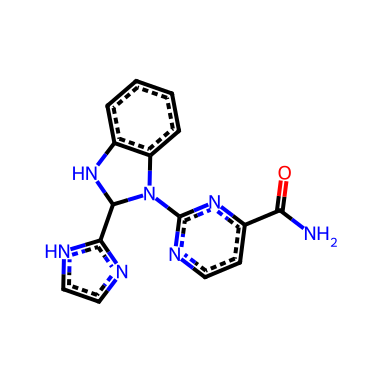 NC(=O)c1ccnc(N2c3ccccc3NC2c2ncc[nH]2)n1